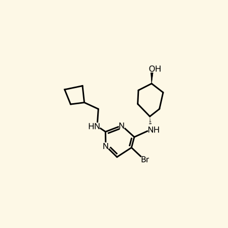 O[C@H]1CC[C@H](Nc2nc(NCC3CCC3)ncc2Br)CC1